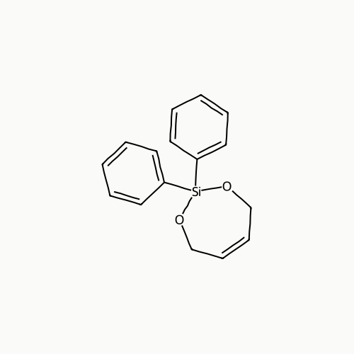 C1=CCO[Si](c2ccccc2)(c2ccccc2)OC1